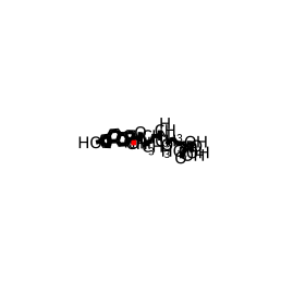 CC(C)(CCC(C)(C)NC(=O)[C@@]1(O)CCC2C3CCc4cc(O)ccc4C3CC[C@@]21C)NC(=O)CCCC(P(=O)(O)O)P(=O)(O)O